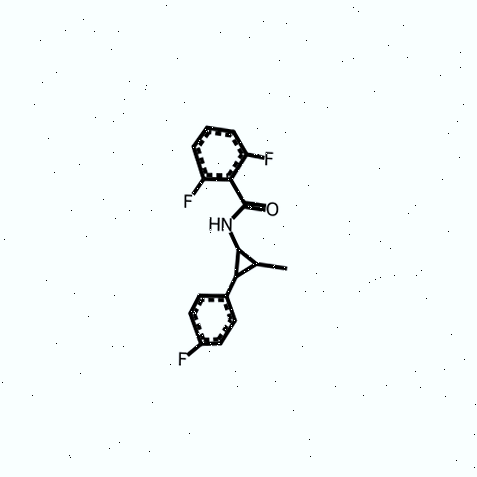 CC1C(NC(=O)c2c(F)cccc2F)C1c1ccc(F)cc1